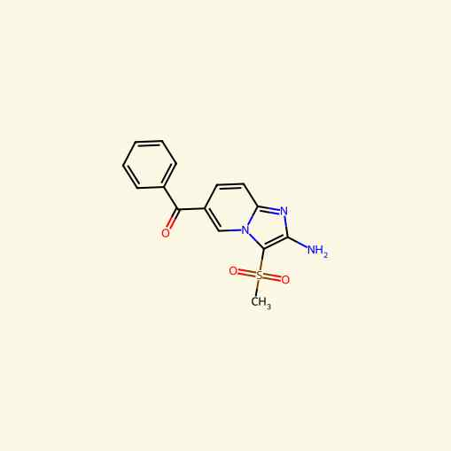 CS(=O)(=O)c1c(N)nc2ccc(C(=O)c3ccccc3)cn12